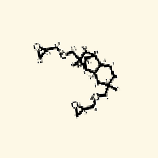 CC1(COCC2CO2)CCC2C3CC(C2C1)C(C)(COCC1CO1)C3